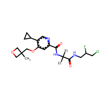 CCC(CC)(NC(=O)c1cc(OCC2(C)COC2)c(C2CC2)cn1)C(=O)NCC(F)CCl